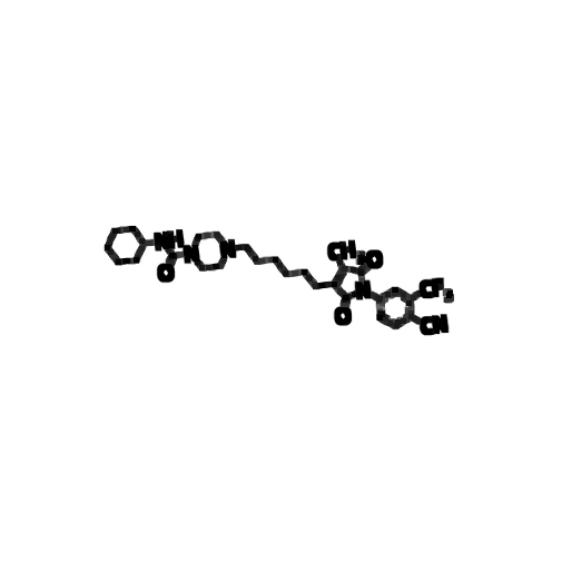 CC1=C(CCCCCCN2CCN(C(=O)NC3CCCCC3)CC2)C(=O)N(c2ccc(C#N)c(C(F)(F)F)c2)C1=O